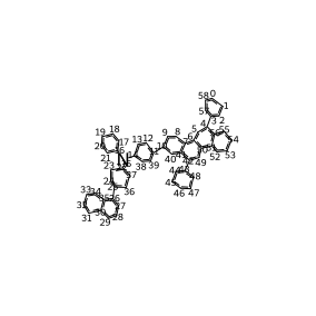 c1ccc(-c2cc3c4ccc(-c5ccc(N(c6ccccc6)c6ccc(-c7cccc8ccccc78)cc6)cc5)cc4c(-c4ccccc4)cc3c3ccccc23)cc1